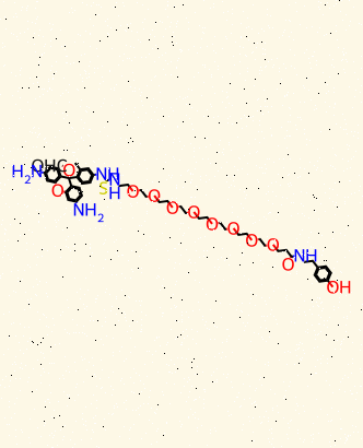 Cc1cc(NC(=S)NCCOCCOCCOCCOCCOCCOCCOCCOCCC(=O)NCCc2ccc(O)cc2)ccc1C1(OC=O)c2ccc(N)cc2Oc2cc(N)ccc21